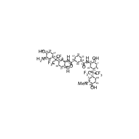 CNc1cc(C(c2ccc(O)c(NC(=O)c3cccc(C(=O)Nc4cc(C(c5ccc(O)c(N)c5)(C(F)(F)F)C(F)(F)F)ccc4O)c3)c2)(C(F)(F)F)C(F)(F)F)ccc1O